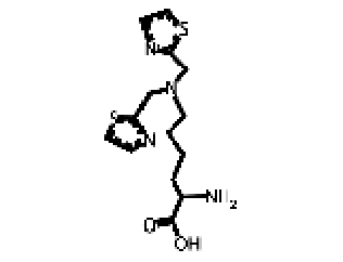 NC(CCCCN(Cc1nccs1)Cc1nccs1)C(=O)O